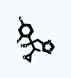 CC(C1CO1)C(O)(Cn1cncn1)c1ccc(F)cc1F